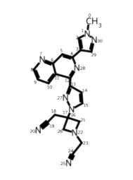 Cn1cc(-c2cc3ncccc3c(-c3ccn(C4(CC#N)CN(CC#N)C4)n3)n2)cn1